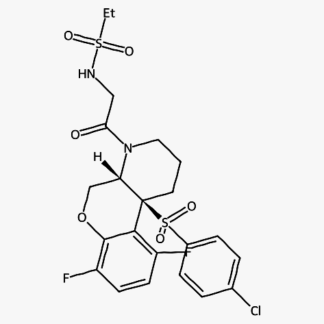 CCS(=O)(=O)NCC(=O)N1CCC[C@]2(S(=O)(=O)c3ccc(Cl)cc3)c3c(F)ccc(F)c3OC[C@H]12